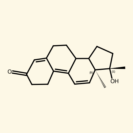 C[C@]1(O)CCC2C3CCC4=CC(=O)CCC4=C3C=C[C@@]21C